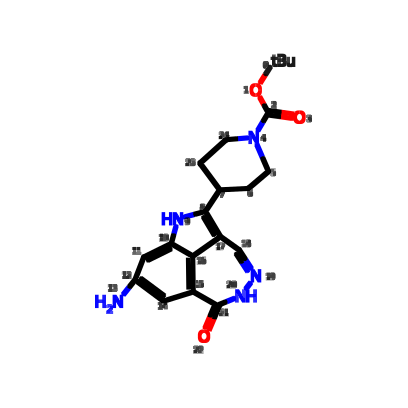 CC(C)(C)OC(=O)N1CCC(c2[nH]c3cc(N)cc4c3c2C=NNC4=O)CC1